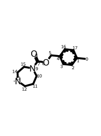 Cc1ccc(COC(=O)N2CCC[N]CC2)cc1